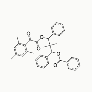 Cc1cc(C)c(C(=O)C(=O)OC(c2ccccc2)C(C)(C)C(OC(=O)c2ccccc2)c2ccccc2)c(C)c1